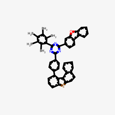 Bc1c(B)c(B)c(-c2nc(-c3ccc(-c4cccc5sc6ccc7ccccc7c6c45)cc3)nc(-c3ccc4c(c3)oc3ccccc34)n2)c(B)c1B